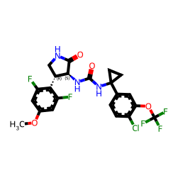 COc1cc(F)c([C@@H]2CNC(=O)[C@H]2NC(=O)NC2(c3ccc(Cl)c(OC(F)(F)F)c3)CC2)c(F)c1